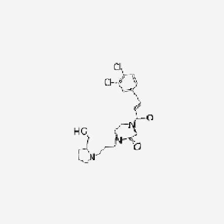 O=C(/C=C/c1ccc(Cl)c(Cl)c1)N1CCN(CCCN2CCC[C@H]2CO)C(=O)C1